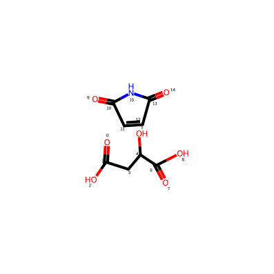 O=C(O)CC(O)C(=O)O.O=C1C=CC(=O)N1